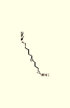 CCCCCCOCCCOCCCCCN=[N+]=[N-]